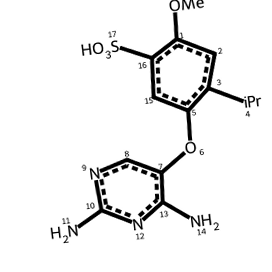 COc1cc(C(C)C)c(Oc2cnc(N)nc2N)cc1S(=O)(=O)O